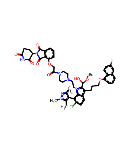 Cc1nn(C)c(C)c1-c1c(Cl)ccc2c(CCCOc3cccc4cc(F)ccc34)c(C(O)OC(C)(C)C)n(CCN3CCN(C(=O)COc4cccc5c4C(=O)N(C4CCC(=O)NC4=O)C5=O)CC3)c12